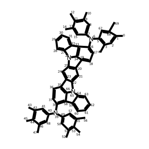 Cc1cc(C)c(N(c2cc(C)c(C)c(C)c2)c2ccc3c4cc5c(cc4n4c6ccccc6c2c34)c2ccc(N(c3cc(C)c(C)c(C)c3)c3cc(C)c(C)c(C)c3)c3c4ccccc4n5c23)cc1C